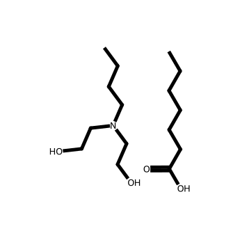 CCCCCCC(=O)O.CCCCN(CCO)CCO